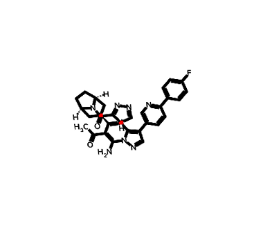 CC(=O)c1c([C@H]2C[C@H]3CC[C@@H](C2)N3C(=O)c2nnc[nH]2)nc2c(-c3ccc(-c4ccc(F)cc4)nc3)cnn2c1N